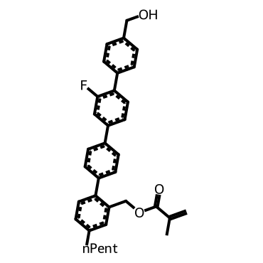 C=C(C)C(=O)OCc1cc(CCCCC)ccc1-c1ccc(-c2ccc(-c3ccc(CO)cc3)c(F)c2)cc1